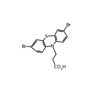 O=C(O)CCN1c2ccc(Br)cc2Sc2cc(Br)ccc21